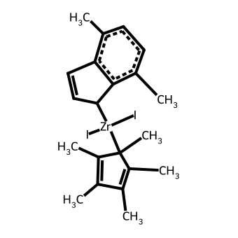 CC1=C(C)[C](C)([Zr]([I])([I])[CH]2C=Cc3c(C)ccc(C)c32)C(C)=C1C